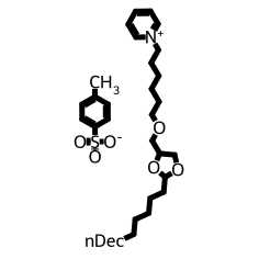 CCCCCCCCCCCCCCCC1OCC(COCCCCCC[n+]2ccccc2)O1.Cc1ccc(S(=O)(=O)[O-])cc1